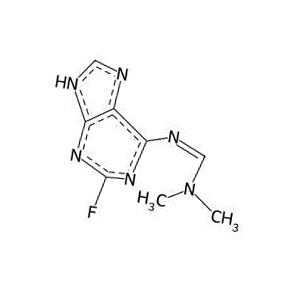 CN(C)/C=N\c1nc(F)nc2[nH]cnc12